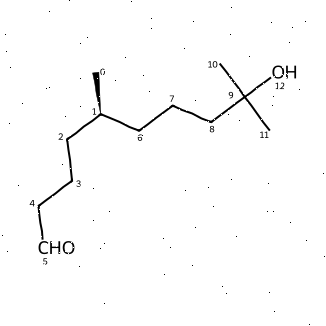 C[C@H](CCCC=O)CCCC(C)(C)O